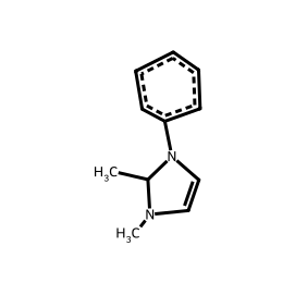 CC1N(C)C=CN1c1ccccc1